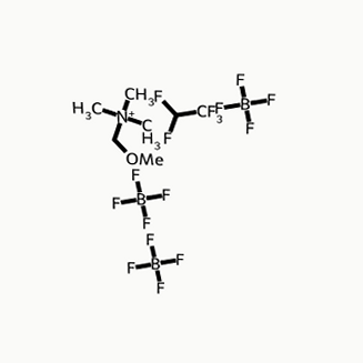 COC[N+](C)(C)C.FC(F)C(F)(F)F.F[B-](F)(F)F.F[B-](F)(F)F.F[B-](F)(F)F